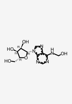 OCNc1ncnc2c1ncn2[C@@H]1O[C@H](CO)[C@@H](O)[C@H]1O